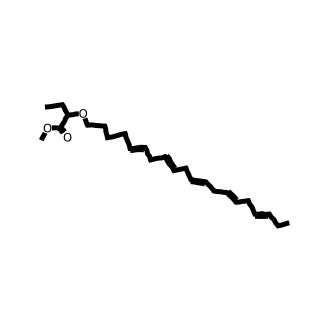 CCC=CCC=CCC=CCC=CCC=CCCCCOC(CC)C(=O)OC